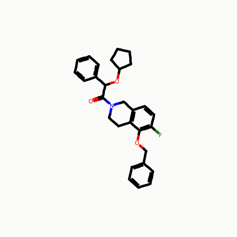 O=C(C(OC1CCCC1)c1ccccc1)N1CCc2c(ccc(F)c2OCc2ccccc2)C1